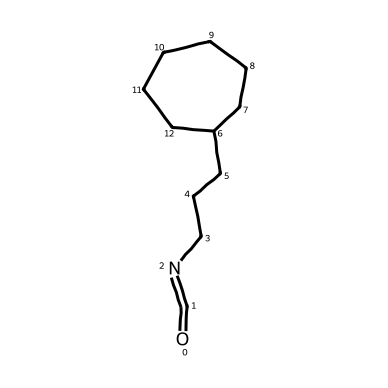 O=C=NCCCC1CCCCCC1